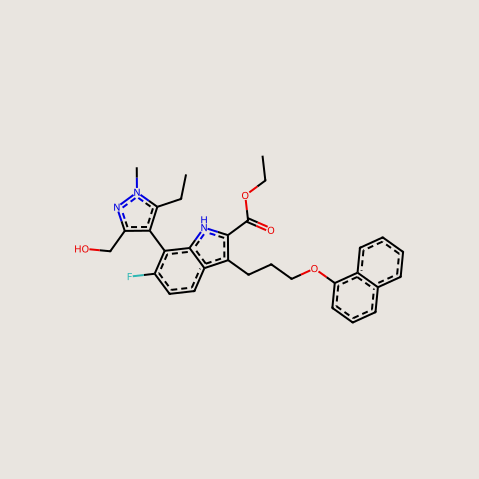 CCOC(=O)c1[nH]c2c(-c3c(CO)nn(C)c3CC)c(F)ccc2c1CCCOc1cccc2ccccc12